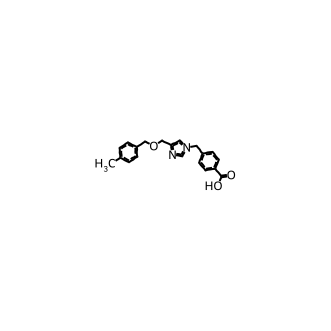 Cc1ccc(COCc2cn(Cc3ccc(C(=O)O)cc3)cn2)cc1